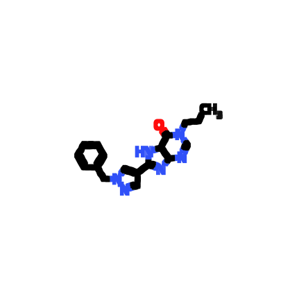 CCCN1C=NC2N=C(c3cnn(Cc4ccccc4)c3)NC2C1=O